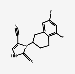 N#Cc1c[nH]c(=S)n1C1CCc2c(F)cc(F)cc2C1